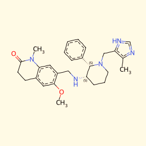 COc1cc2c(cc1CN[C@H]1CCCN(Cc3[nH]cnc3C)[C@H]1c1ccccc1)N(C)C(=O)CC2